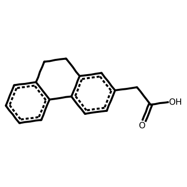 O=C(O)Cc1ccc2c(c1)CCc1ccccc1-2